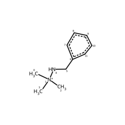 C[N+](C)(C)NCc1ccccc1